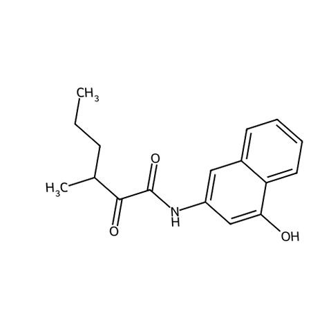 CCCC(C)C(=O)C(=O)Nc1cc(O)c2ccccc2c1